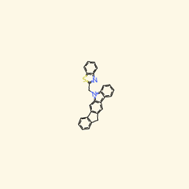 c1ccc2c(c1)Cc1cc3c4ccccc4n(Cc4nc5ccccc5s4)c3cc1-2